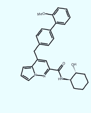 COc1ccccc1-c1ccc(Cc2cc(C(=O)N[C@@H]3CCCC[C@H]3O)nn3cccc23)cc1